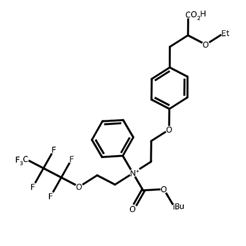 CCOC(Cc1ccc(OCC[N+](CCOC(F)(F)C(F)(F)C(F)(F)F)(C(=O)OC(C)CC)c2ccccc2)cc1)C(=O)O